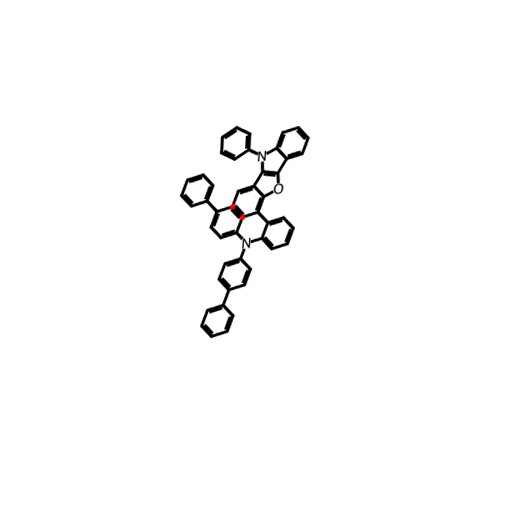 c1ccc(-c2ccc(N(c3ccc(-c4ccccc4)cc3)c3ccccc3-c3cccc4c3oc3c5ccccc5n(-c5ccccc5)c43)cc2)cc1